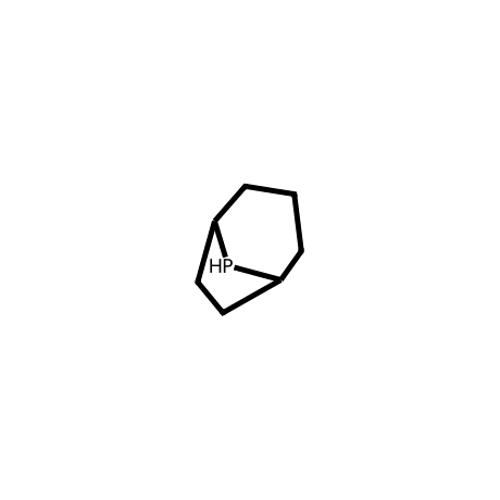 C1CC2CCC(C1)P2